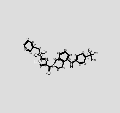 O=C(c1c[nH]c(S(=O)(=O)Cc2cccnc2)n1)N1CCc2c(cccc2Nc2ccc(C(F)(F)F)cc2)C1